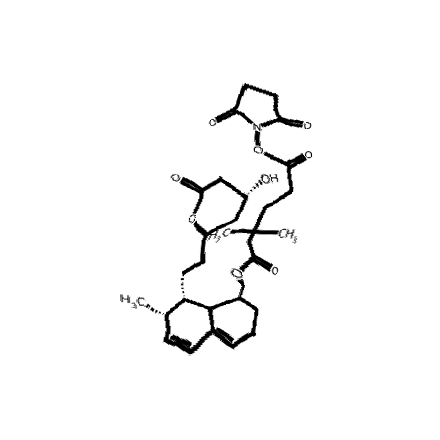 C[C@H]1C=CC2=CCC[C@H](OC(=O)C(C)(C)CCC(=O)ON3C(=O)CCC3=O)C2[C@H]1CCC1C[C@@H](O)CC(=O)O1